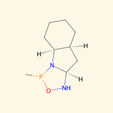 CP1ON[C@@H]2C[C@@H]3CCCC[C@@H]3N21